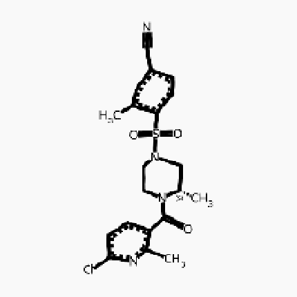 Cc1cc(C#N)ccc1S(=O)(=O)N1CCN(C(=O)c2ccc(Cl)nc2C)[C@@H](C)C1